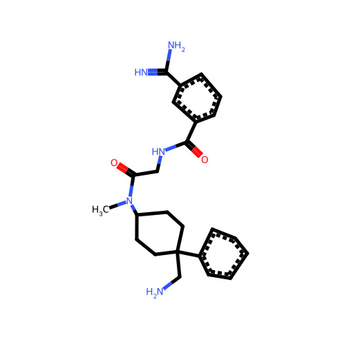 CN(C(=O)CNC(=O)c1cccc(C(=N)N)c1)C1CCC(CN)(c2ccccc2)CC1